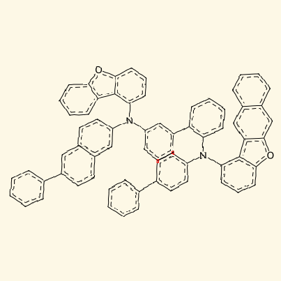 c1ccc(-c2ccc(N(c3ccccc3-c3cccc(N(c4ccc5cc(-c6ccccc6)ccc5c4)c4cccc5oc6ccccc6c45)c3)c3cccc4oc5cc6ccccc6cc5c34)cc2)cc1